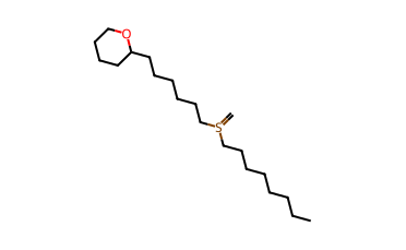 C=S(CCCCCCCC)CCCCCCC1CCCCO1